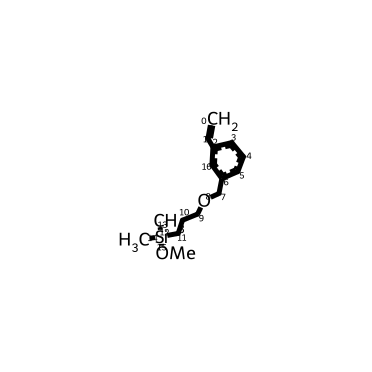 C=Cc1cccc(COCCC[Si](C)(C)OC)c1